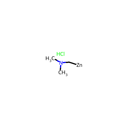 CN(C)[CH2][Zn].Cl